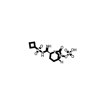 N=C(NS(=O)(=O)C1CCC1)[C@@H]1CC[C@@H]2CN1C(=O)N2OS(=O)(=O)O